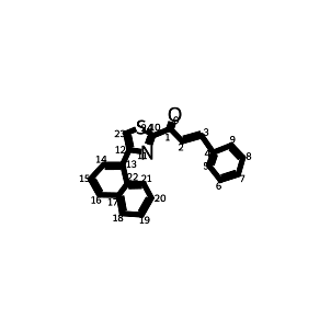 O=C(C=Cc1ccccc1)c1nc(-c2cccc3ccccc23)cs1